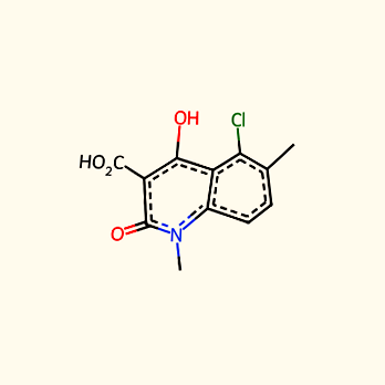 Cc1ccc2c(c(O)c(C(=O)O)c(=O)n2C)c1Cl